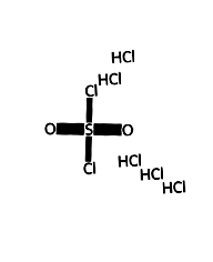 Cl.Cl.Cl.Cl.Cl.O=S(=O)(Cl)Cl